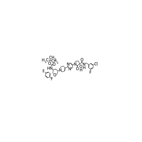 CC(C)(C)OC(=O)N[C@H]1C[C@@H](N2CC=C(c3ncc(N4CC[C@](O)(C(=O)NCc5cc(F)cc(Cl)c5)C4=O)cn3)CC2)CO[C@@H]1c1cc(F)ccc1F